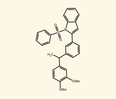 COc1ccc(C(C)c2cccc(-c3cc4ccccc4n3S(=O)(=O)c3ccccc3)c2)cc1OC